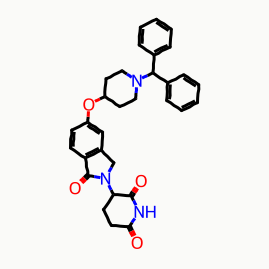 O=C1CCC(N2Cc3cc(OC4CCN(C(c5ccccc5)c5ccccc5)CC4)ccc3C2=O)C(=O)N1